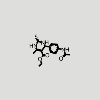 CCOC(=O)C1=C(C)NC(=S)NC1c1ccc(NC(C)=O)cc1